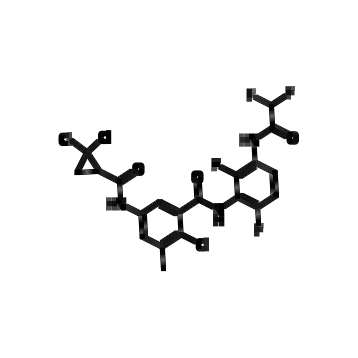 Cc1cc(NC(=O)C2CC2(Cl)Cl)cc(C(=O)Nc2c(F)ccc(NC(=O)C(F)F)c2F)c1Cl